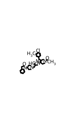 CC(=O)N1CCc2c(c(-c3ccc(Cl)c(C)c3)nn2CC(O)CN2CCC(N3C(=O)Cc4ccccc43)CC2)C1